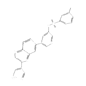 CN/C=C(\C=N)c1cnc2ccc(-c3cncc(NS(=O)(=O)c4cccc(F)c4)c3)cc2n1